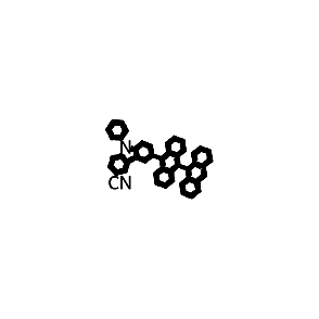 N#Cc1ccc2c(c1)c1cc(-c3c4ccccc4c(-c4c5ccccc5cc5ccccc45)c4ccccc34)ccc1n2-c1ccccc1